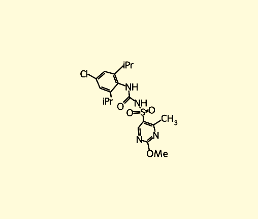 COc1ncc(S(=O)(=O)NC(=O)Nc2c(C(C)C)cc(Cl)cc2C(C)C)c(C)n1